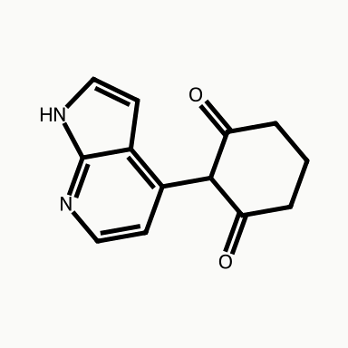 O=C1CCCC(=O)C1c1ccnc2[nH]ccc12